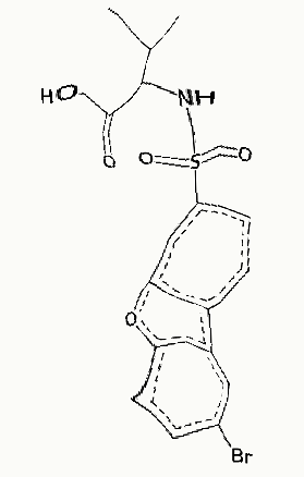 CC(C)C(NS(=O)(=O)c1ccc2c(c1)oc1ccc(Br)cc12)C(=O)O